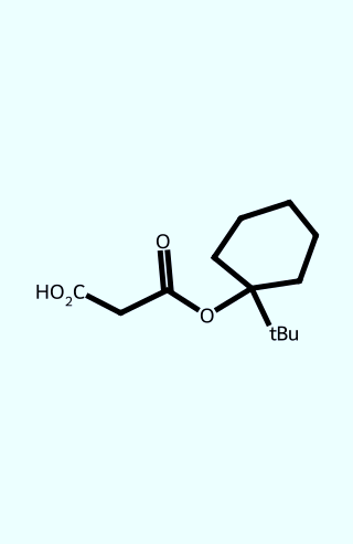 CC(C)(C)C1(OC(=O)CC(=O)O)CCCCC1